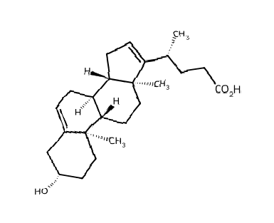 C[C@H](CCC(=O)O)C1=CC[C@H]2[C@@H]3CC=C4C[C@@H](O)CC[C@]4(C)[C@H]3CC[C@]12C